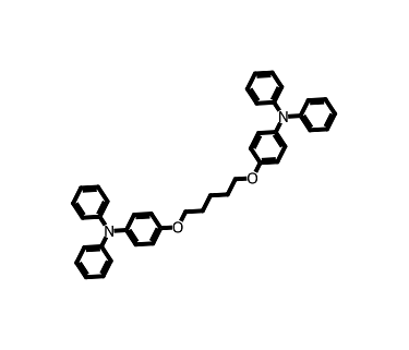 c1ccc(N(c2ccccc2)c2ccc(OCCCCCOc3ccc(N(c4ccccc4)c4ccccc4)cc3)cc2)cc1